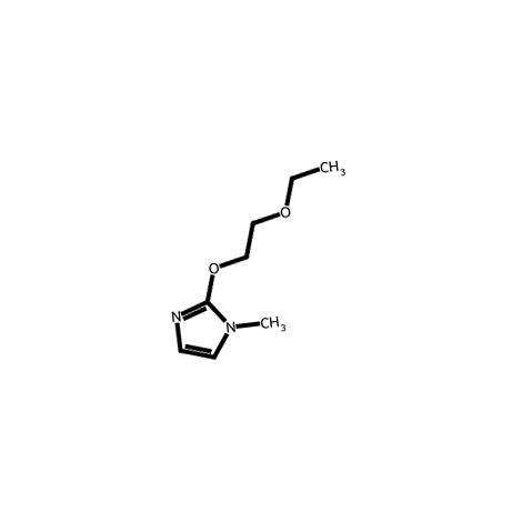 CCOCCOc1nccn1C